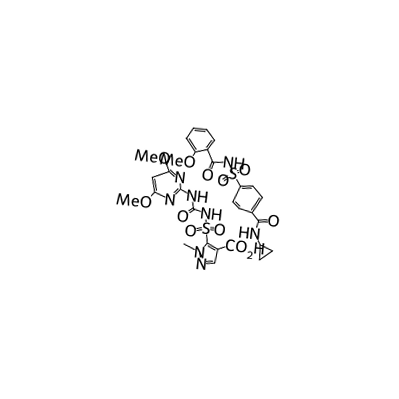 COc1cc(OC)nc(NC(=O)NS(=O)(=O)c2c(C(=O)O)cnn2C)n1.COc1ccccc1C(=O)NS(=O)(=O)c1ccc(C(=O)NC2CC2)cc1